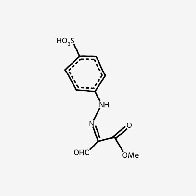 COC(=O)/C(C=O)=N\Nc1ccc(S(=O)(=O)O)cc1